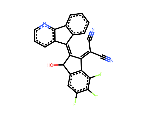 N#CC(C#N)=C1/C(=C2\c3ccccc3-c3ncccc32)C(O)c2cc(F)c(F)c(F)c21